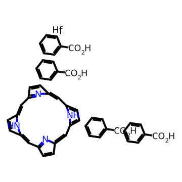 C1=Cc2cc3ccc(cc4nc(cc5ccc(cc1n2)[nH]5)C=C4)[nH]3.O=C(O)c1ccccc1.O=C(O)c1ccccc1.O=C(O)c1ccccc1.O=C(O)c1ccccc1.[Hf]